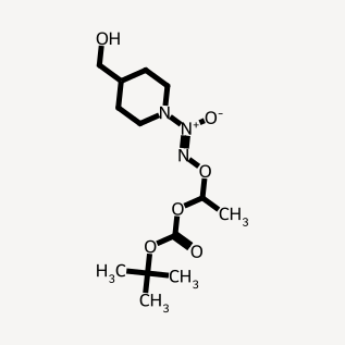 CC(O/N=[N+](\[O-])N1CCC(CO)CC1)OC(=O)OC(C)(C)C